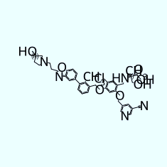 Cc1c(COc2cc(OCc3cncc(C#N)c3)c(CN[C@](C)(CO)C(=O)O)cc2Cl)cccc1-c1ccc2oc(CCN3CC[C@@H](O)C3)nc2c1